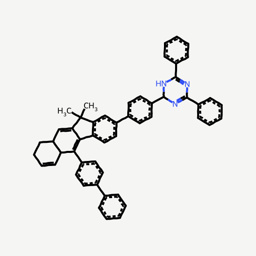 CC1(C)C2=CC3CCC=CC3C(c3ccc(-c4ccccc4)cc3)=C2c2ccc(-c3ccc(C4N=C(c5ccccc5)N=C(c5ccccc5)N4)cc3)cc21